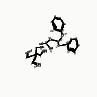 OCC(CO)(CO)CO.OP(O)OP(Oc1ccccc1)Oc1ccccc1